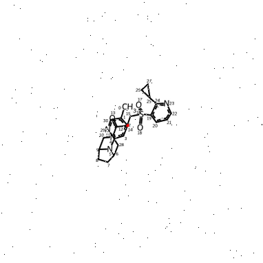 Cc1ccc(N2C3CCC2CN(C(=O)CCS(=O)(=O)c2cccnc2C2CC2)C3)nc1